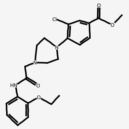 CCOc1ccccc1NC(=O)CN1CCN(c2ccc(C(=O)OC)cc2Cl)CC1